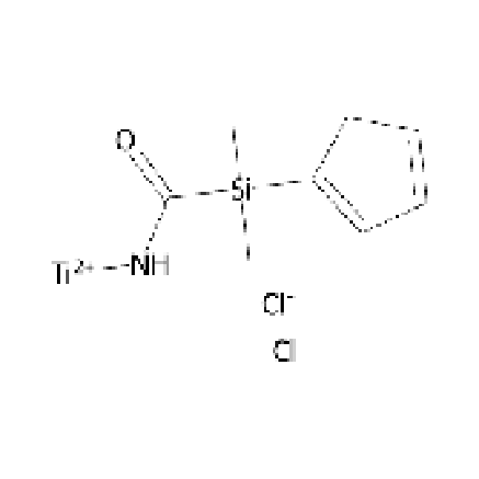 C[Si](C)(C(=O)[NH][Ti+2])C1=CC=CC1.[Cl-].[Cl-]